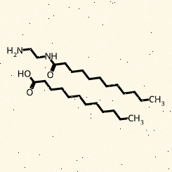 CCCCCCCCCCCC(=O)NCCN.CCCCCCCCCCCC(=O)O